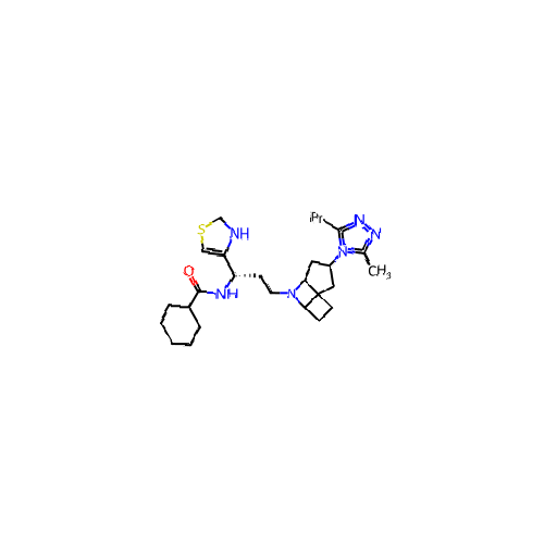 Cc1nnc(C(C)C)n1C1CC2N(CC[C@H](NC(=O)C3CCCCC3)C3=CSCN3)C3CCC32C1